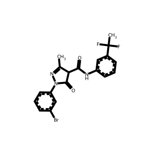 CC1=NN(c2cccc(Br)c2)C(=O)C1C(=O)Nc1cccc(C(C)(F)F)c1